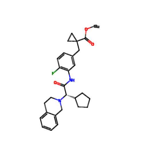 CC(C)(C)OC(=O)C1(Cc2ccc(F)c(NC(=O)[C@H](C3CCCC3)N3CCc4ccccc4C3)c2)CC1